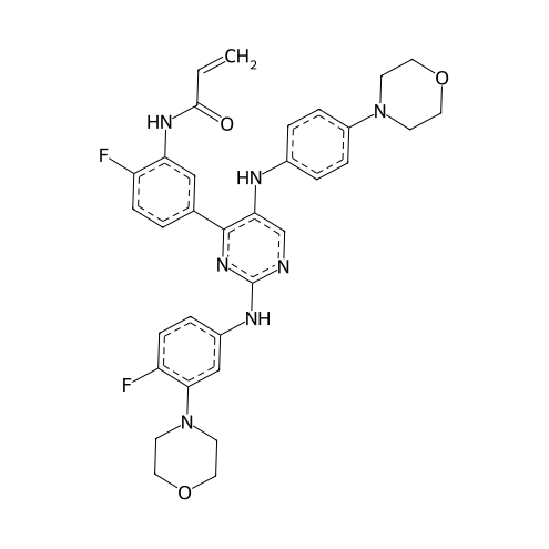 C=CC(=O)Nc1cc(-c2nc(Nc3ccc(F)c(N4CCOCC4)c3)ncc2Nc2ccc(N3CCOCC3)cc2)ccc1F